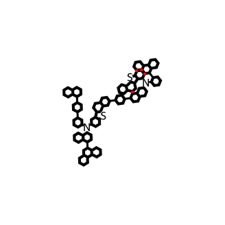 c1cc(-c2ccc(-c3cccc4ccccc34)cc2)cc(N(c2ccc3sc4c5cc(-c6ccc(-c7ccc8ccc(N(c9ccccc9-c9cc%10ccccc%10c%10ccccc9%10)c9cccc%10sc%11c%12ccccc%12ccc%11c9%10)cc8c7)cc6)ccc5ccc4c3c2)c2ccc(-c3cc4ccccc4c4ccccc34)c3ccccc23)c1